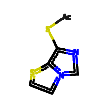 CC(=O)Sc1ncn2ccsc12